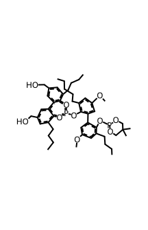 CCCCCc1cc(OC)cc(-c2cc(OC)cc(CCCC)c2OP2OCC(C)(C)CO2)c1Op1oc2c(CCCC)cc(CO)cc2c2cc(CO)cc(CCCC)c2o1